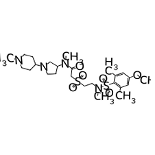 COc1cc(C)c(S(=O)(=O)N(C)CCS(=O)(=O)CC(=O)N(C)C2CCN(C3CCN(C)CC3)C2)c(C)c1